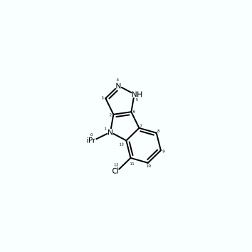 CC(C)n1c2cn[nH]c2c2cccc(Cl)c21